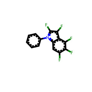 Fc1cc2c(c(F)c1F)c(F)c(F)n2-c1ccccc1